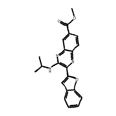 COC(=O)c1ccc2nc(-c3cc4ccccc4o3)c(NC(C)C)nc2c1